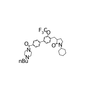 CCCCN1CCN(C(=O)c2ccc(-c3ccc(CC4CCN(C5CCCCC5)C4=O)c(OC(F)(F)F)c3)cc2)CC1